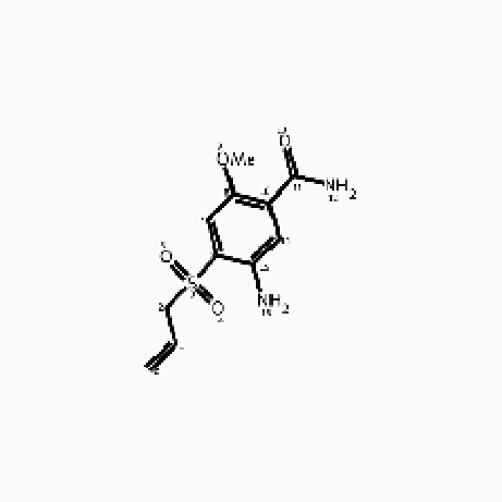 C=CCS(=O)(=O)c1cc(OC)c(C(N)=O)cc1N